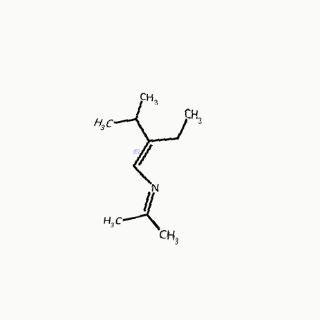 CC/C(=C\N=C(C)C)C(C)C